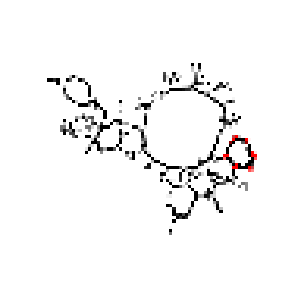 CC[C@H]1OC(=O)[C@H](C)[C@@H](O[C@H]2C[C@@](C)(OC)[C@](O)(CN3CCN(C)CC3)[C@H](C)O2)[C@H](C)[C@@H](O[C@@H]2O[C@H](C)C[C@H](N(C)C(=O)Nc3ccccc3)[C@H]2OC(=O)Nc2ccccc2)[C@](C)(O)C[C@@H](C)CN[C@H](C)[C@@H](O)[C@]1(C)O